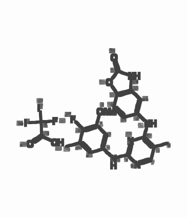 COc1cc(Nc2ncc(C)c(Nc3ccc4oc(=O)[nH]c4c3)n2)cc(C)c1F.O=C(O)C(F)(F)F